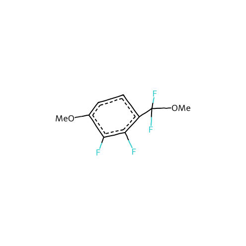 COc1ccc(C(F)(F)OC)c(F)c1F